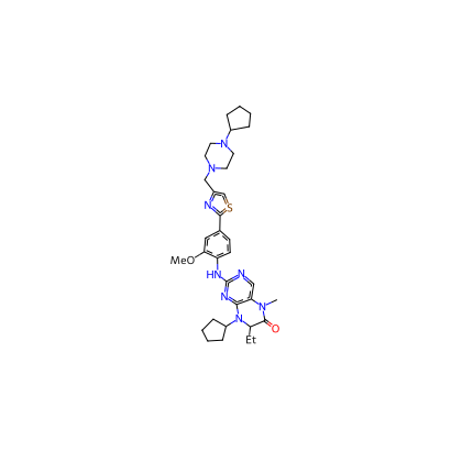 CCC1C(=O)N(C)c2cnc(Nc3ccc(-c4nc(CN5CCN(C6CCCC6)CC5)cs4)cc3OC)nc2N1C1CCCC1